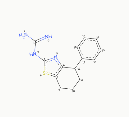 N=C(N)Nc1nc2c(s1)CCCC2c1ccccc1